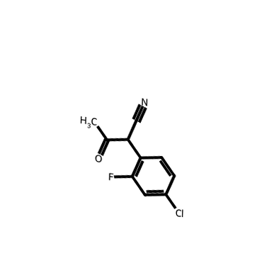 CC(=O)C(C#N)c1ccc(Cl)cc1F